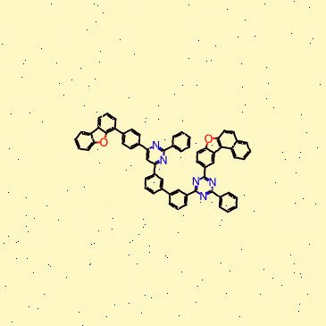 c1ccc(-c2nc(-c3ccc(-c4cccc5c4oc4ccccc45)cc3)cc(-c3cccc(-c4cccc(-c5nc(-c6ccccc6)nc(-c6ccc7oc8ccc9ccccc9c8c7c6)n5)c4)c3)n2)cc1